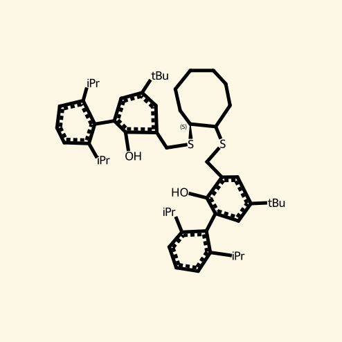 CC(C)c1cccc(C(C)C)c1-c1cc(C(C)(C)C)cc(CSC2CCCCCC[C@@H]2SCc2cc(C(C)(C)C)cc(-c3c(C(C)C)cccc3C(C)C)c2O)c1O